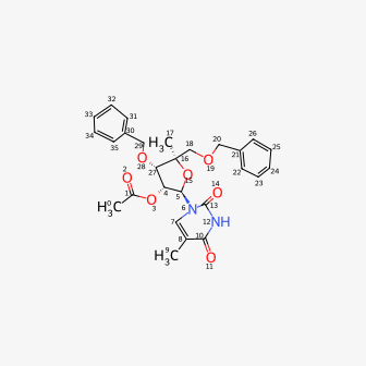 CC(=O)O[C@H]1[C@H](n2cc(C)c(=O)[nH]c2=O)O[C@](C)(COCc2ccccc2)[C@H]1OCc1ccccc1